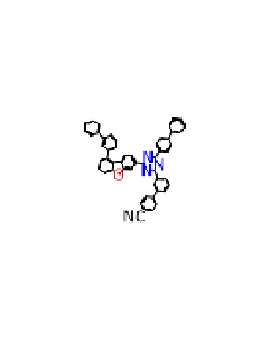 N#Cc1ccc(-c2cccc(-c3nc(-c4ccc(-c5ccccc5)cc4)nc(-c4ccc5c(c4)oc4cccc(-c6cccc(-c7ccccc7)c6)c45)n3)c2)cc1